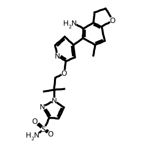 Cc1cc2c(c(N)c1-c1ccnc(OCC(C)(C)n3ccc(S(N)(=O)=O)n3)c1)CCO2